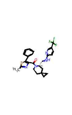 Cc1nc(C(=O)N2CCC3(CC3)C[C@H]2CNc2ccc(C(F)(F)F)cn2)c(-c2ccccc2)s1